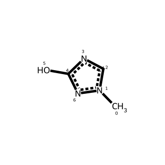 Cn1[c]nc(O)n1